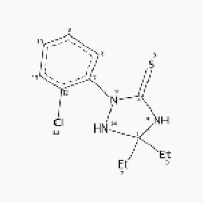 CCC1(CC)NC(=S)N(c2ccccc2Cl)N1